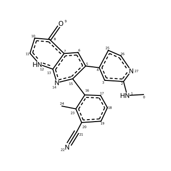 CNc1cc(-c2cc3c(=O)cc[nH]c3nc2-c2cccc(C#N)c2C)ccn1